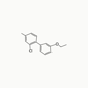 CCOc1[c]ccc(-c2ccc(C)cc2Cl)c1